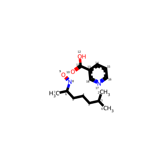 CC(C)CCCC(C)N=O.O=C(O)c1cccnc1